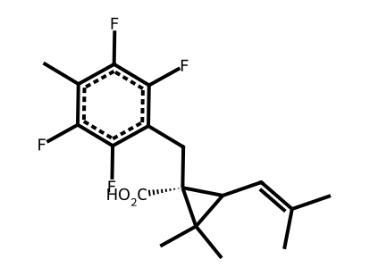 CC(C)=CC1C(C)(C)[C@]1(Cc1c(F)c(F)c(C)c(F)c1F)C(=O)O